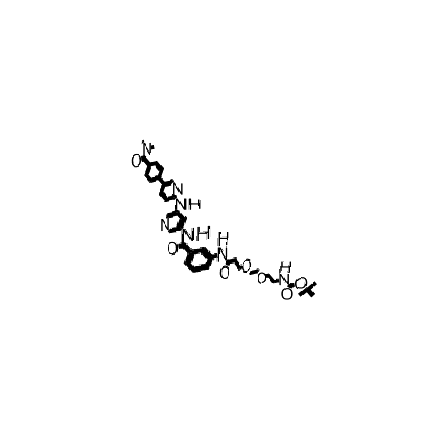 CN(C)C(=O)c1ccc(-c2ccc(Nc3cncc(NC(=O)c4cccc(NC(=O)CCOCCOCCNC(=O)OC(C)(C)C)c4)c3)nc2)cc1